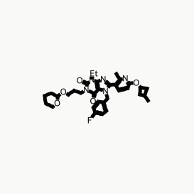 CCn1c(=O)n(CCCOC2CCCCO2)c(=O)c2c1nc(-c1ccc(OC3CC(C)C3)nc1C)n2Cc1ccc(F)cc1